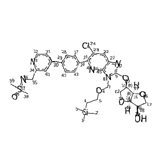 C[Si](C)(C)CCOCn1c(O[C@@H]2CO[C@H]3[C@@H]2OC[C@H]3O)nc2cc(Cl)c(-c3ccc(-c4ccnc(CN=S(C)(C)=O)c4)cc3)nc21